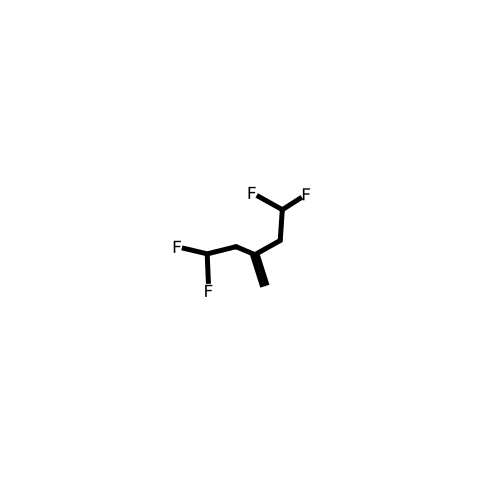 C=C(CC(F)F)CC(F)F